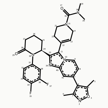 Cc1noc(C)c1-c1ccn2c(C3=CCN(C(=O)N(C)C)CC3)c([C@@H]3CCCC(=O)N3c3ccc(F)c(F)c3)nc2c1